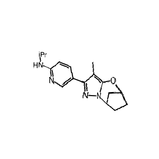 Cc1c(-c2ccc(NC(C)C)nc2)nn2c1OC1CCC2C1